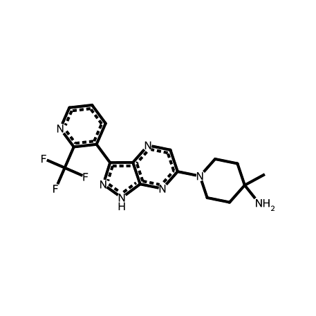 CC1(N)CCN(c2cnc3c(-c4cccnc4C(F)(F)F)n[nH]c3n2)CC1